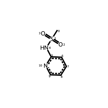 CS(=O)(=O)Nc1ccccn1